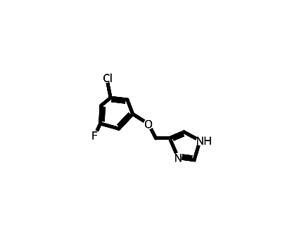 Fc1cc(Cl)cc(OCc2c[nH]cn2)c1